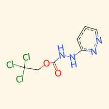 O=C(NNc1cccnn1)OCC(Cl)(Cl)Cl